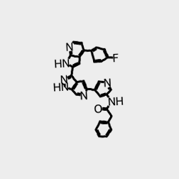 O=C(Cc1ccccc1)Nc1cncc(-c2cc3c(-c4cc5c(-c6ccc(F)cc6)ccnc5[nH]4)n[nH]c3cn2)c1